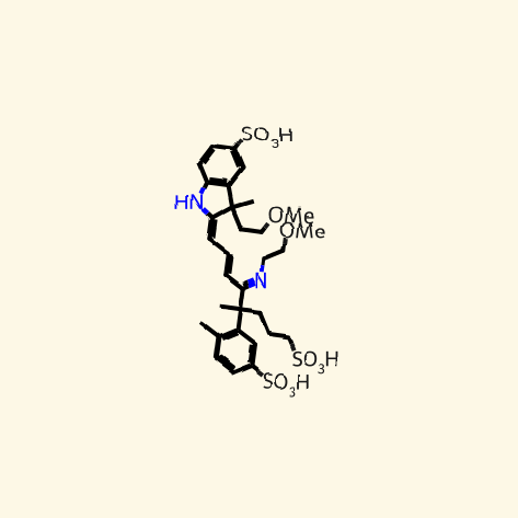 COCC\N=C(/C=C/C=C1/Nc2ccc(S(=O)(=O)O)cc2C1(C)CCOC)C(C)(CCCS(=O)(=O)O)c1cc(S(=O)(=O)O)ccc1C